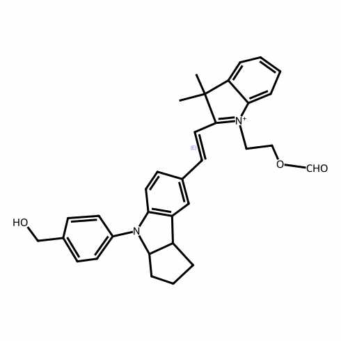 CC1(C)C(/C=C/c2ccc3c(c2)C2CCCC2N3c2ccc(CO)cc2)=[N+](CCOC=O)c2ccccc21